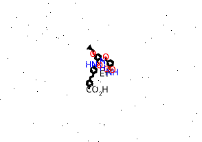 CCNS(=O)(=O)c1cccc(C(=O)Nc2ccc(OCC3CC3)cc2C(=O)Nc2ccc(CCc3ccc(C(=O)O)cc3)cc2)c1